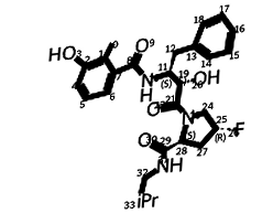 Cc1c(O)cccc1C(=O)N[C@@H](Cc1ccccc1)[C@H](O)C(=O)N1C[C@H](F)C[C@H]1C(=O)NCC(C)C